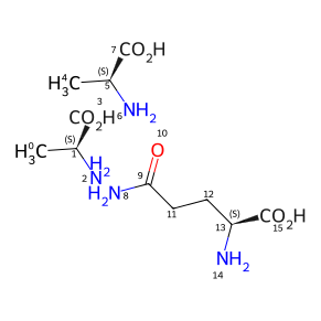 C[C@H](N)C(=O)O.C[C@H](N)C(=O)O.NC(=O)CC[C@H](N)C(=O)O